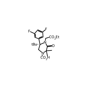 CCOC(=O)CN1C(=O)C(C)(C)N(C(=O)O)C[C@]1(c1cc(F)cc(F)c1)C(C)(C)C